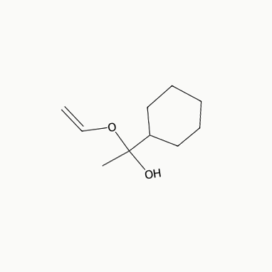 C=COC(C)(O)C1CCCCC1